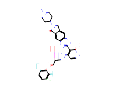 CN1CCC(N2Cc3cc4[nH]c(-c5c(NC[C@@H](O)COc6c(F)ccc(Cl)c6F)cc[nH]c5=O)nc4cc3C2=O)CC1